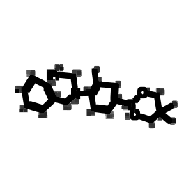 Cc1cc(B2OCC(C)(C)CO2)ccc1N(Cc1ccccc1)CC(C)C